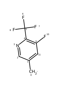 [CH2]c1cnc(C(F)(F)F)c(F)c1